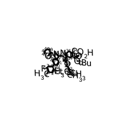 CCc1cc(C)c(F)cc1-c1ccc2c(-c3nc4c(n3COCC[Si](C)(C)C)CN(C(=O)OC(C)(C)C)[C@H](C(=O)O)C4)nn(C3CCCCO3)c2c1